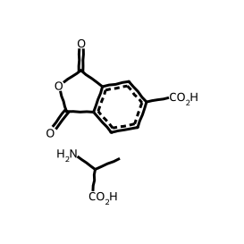 CC(N)C(=O)O.O=C(O)c1ccc2c(c1)C(=O)OC2=O